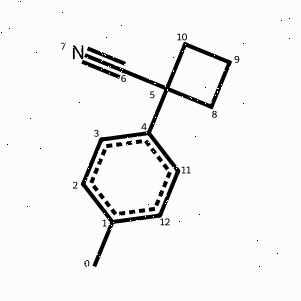 Cc1ccc(C2(C#N)CCC2)cc1